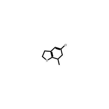 CC1CC(Cl)=CC2=C1OCC2